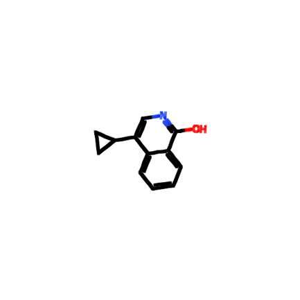 Oc1ncc(C2CC2)c2ccccc12